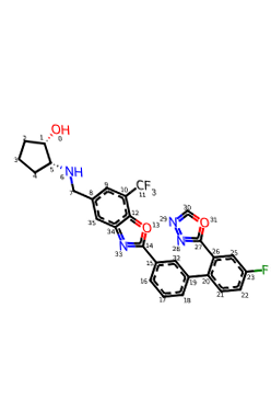 O[C@H]1CCC[C@H]1NCc1cc(C(F)(F)F)c2oc(-c3cccc(-c4ccc(F)cc4-c4nnco4)c3)nc2c1